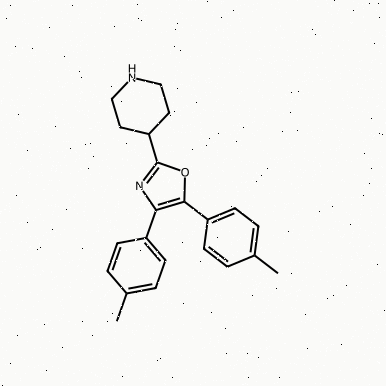 Cc1ccc(-c2nc(C3CCNCC3)oc2-c2ccc(C)cc2)cc1